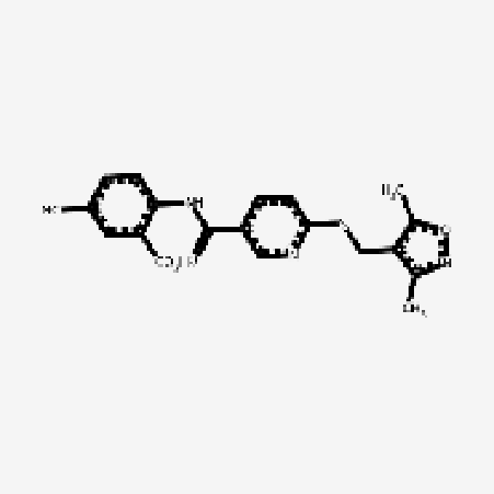 Cc1noc(C)c1CSc1ccc(C(=O)Nc2ccc(C#N)cc2C(=O)O)cn1